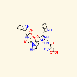 N[C@@H](CC(=O)O)C(=O)NCC(=O)N[C@@H](Cc1c[nH]c2ccccc12)C(=O)N[C@@H](Cc1c[nH]cn1)C(=O)N[C@@H](CO)C(=O)N[C@@H](Cc1c[nH]c2ccccc12)C(=O)O